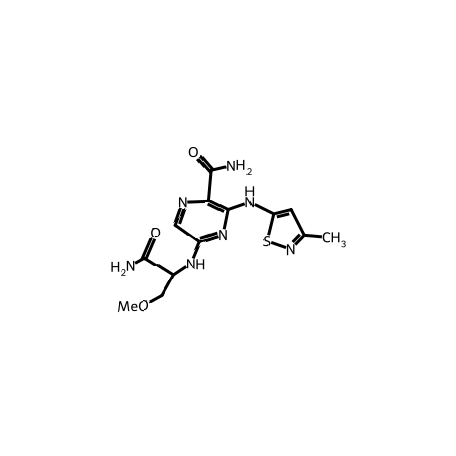 COCC(Nc1cnc(C(N)=O)c(Nc2cc(C)ns2)n1)C(N)=O